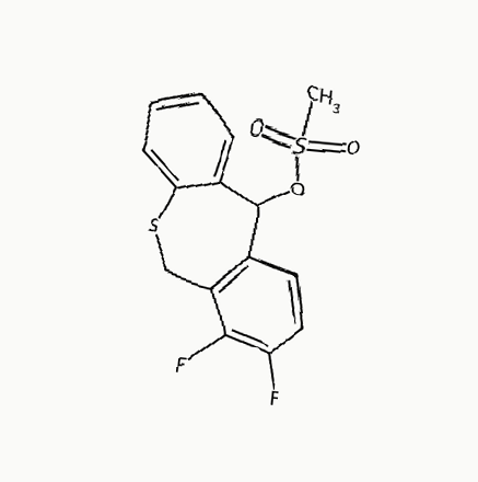 CS(=O)(=O)OC1c2ccccc2SCc2c1ccc(F)c2F